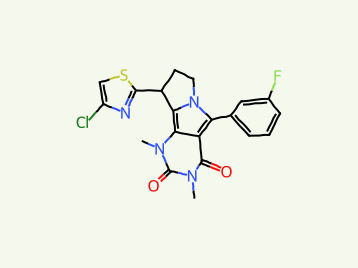 Cn1c(=O)c2c(-c3cccc(F)c3)n3c(c2n(C)c1=O)C(c1nc(Cl)cs1)CC3